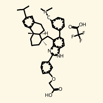 CC(C)c1ccc2c(c1)CC[C@H]1[C@@](C)(Cc3c(-c4cccc(CN(C)C)c4)ccc4[nH]c(-c5cccc(OCC(=O)O)c5)nc34)CCC[C@]21C.O=C(O)C(F)(F)F